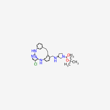 CC(C)(C)OC(=O)N1CC[C@@H](NCc2ccc3cc2CCc2cccc(c2)Nc2ncc(Cl)c(n2)N3)C1